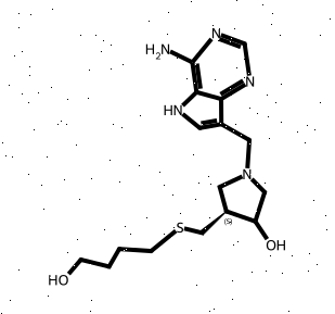 Nc1ncnc2c(CN3CC(O)[C@@H](CSCCCCO)C3)c[nH]c12